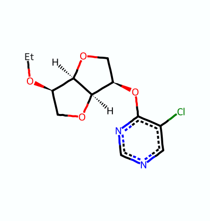 CCO[C@@H]1CO[C@H]2[C@@H]1OC[C@H]2Oc1ncncc1Cl